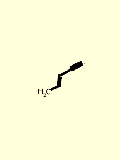 [C]#CC=C[CH2]